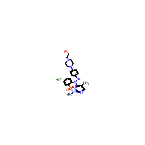 Cc1cncnc1N(Nc1ccc(N2CCN(CCO)CC2)cc1)c1ccccc1S(=O)(=O)NC(C)(C)C.Cl